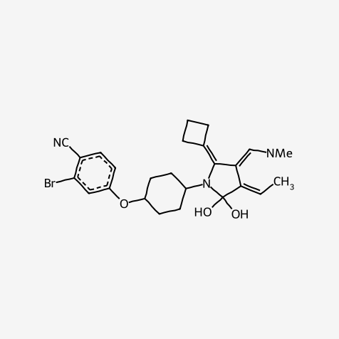 C/C=C1\C(=C/NC)C(=C2CCC2)N(C2CCC(Oc3ccc(C#N)c(Br)c3)CC2)C1(O)O